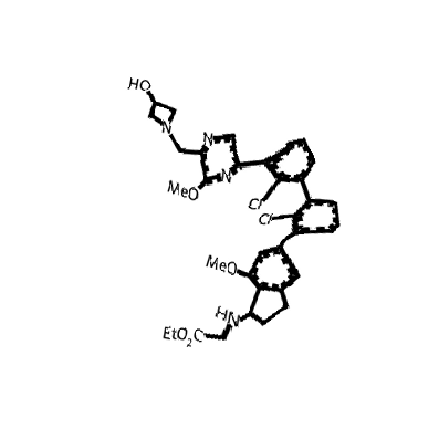 CCOC(=O)CNC1CCc2cc(-c3cccc(-c4cccc(-c5cnc(CN6CC(O)C6)c(OC)n5)c4Cl)c3Cl)cc(OC)c21